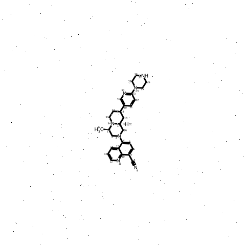 C[C@@H]1CN(c2ccc(C#N)c3ncccc23)C[C@@H]2CC(c3ccc(N4CCNCC4)nc3)CCN21